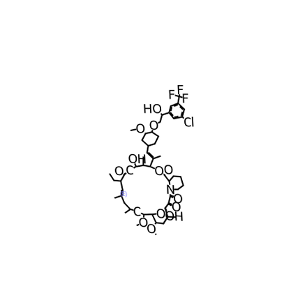 CCC1/C=C(\C)CC(C)CC(OC)C2OC(O)(C(=O)C(=O)N3CCCCC3C(=O)OC(C(C)=CC3CCC(OCC(O)c4cc(Cl)cc(C(F)(F)F)c4)C(OC)C3)C(C)C(O)CC1=O)C(C)CC2OC